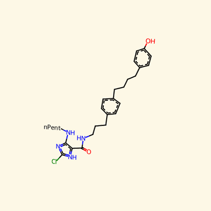 CCCCCNc1nc(Cl)[nH]c1C(=O)NCCCc1ccc(CCCCc2ccc(O)cc2)cc1